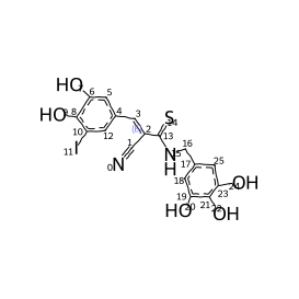 N#C/C(=C\c1cc(O)c(O)c(I)c1)C(=S)NCc1cc(O)c(O)c(O)c1